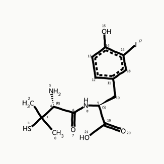 CC(C)(S)[C@H](N)C(=O)N[C@@H](Cc1ccc(O)c(I)c1)C(=O)O